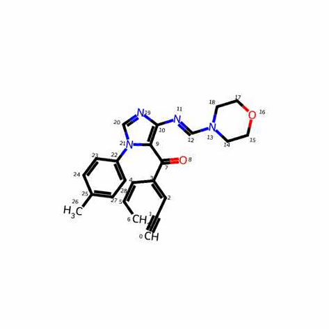 C#C/C=C(\C=C/C)C(=O)c1c(/N=C/N2CCOCC2)ncn1-c1ccc(C)cc1